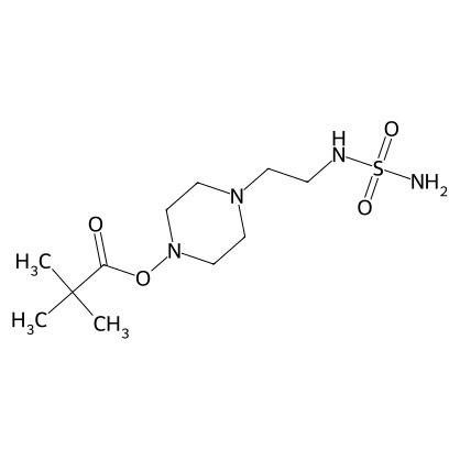 CC(C)(C)C(=O)ON1CCN(CCNS(N)(=O)=O)CC1